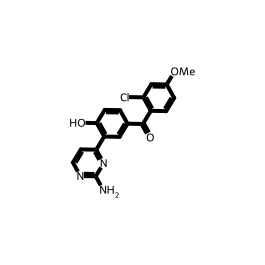 COc1ccc(C(=O)c2ccc(O)c(-c3ccnc(N)n3)c2)c(Cl)c1